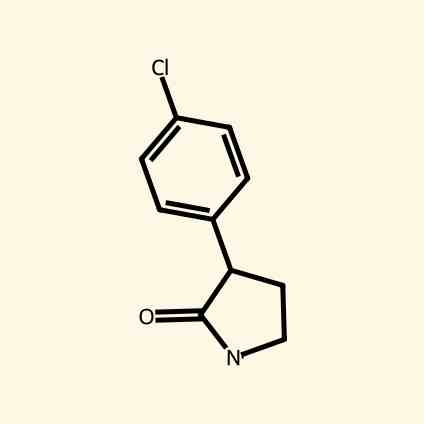 O=C1[N]CCC1c1ccc(Cl)cc1